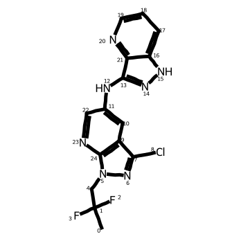 CC(F)(F)Cn1nc(Cl)c2cc(Nc3n[nH]c4cccnc34)cnc21